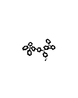 COc1ccc(N(c2ccc(-c3ccc([Si](c4ccccc4)(c4ccccc4)c4ccccc4)cc3)cc2)c2ccc3c(c2)c2ccccc2n3-c2ccccc2)cc1